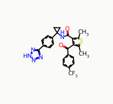 Cc1sc(C)c(C(=O)c2ccc(C(F)(F)F)cc2)c1C(=O)NC1(c2ccc(-c3nn[nH]n3)cc2)CC1